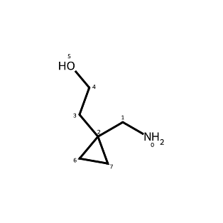 NCC1(CCO)CC1